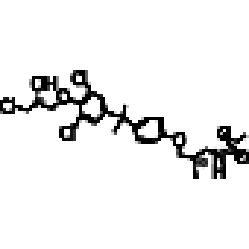 C[C@H](CNS(C)(=O)=O)COc1ccc(C(C)(C)c2cc(Cl)c(OC[C@@H](O)CCl)c(Cl)c2)cc1